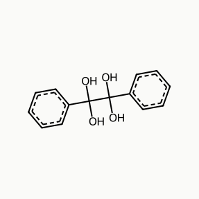 OC(O)(c1ccccc1)C(O)(O)c1ccccc1